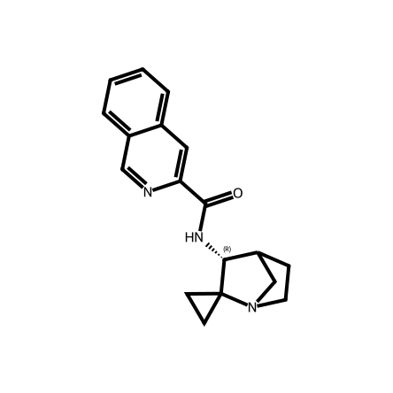 O=C(N[C@@H]1C2CCN(C2)C12CC2)c1cc2ccccc2cn1